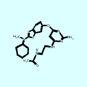 CC(=O)NCCNc1cc(Oc2ccc3nc(N(C)C4CCCCC4)sc3c2)nc(N)n1